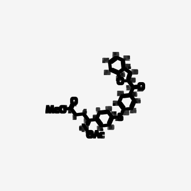 COC(=O)CC/C(=N/OC(C)=O)c1ccc(Sc2ccc(C(=O)c3cc4ccccc4o3)cc2)cc1